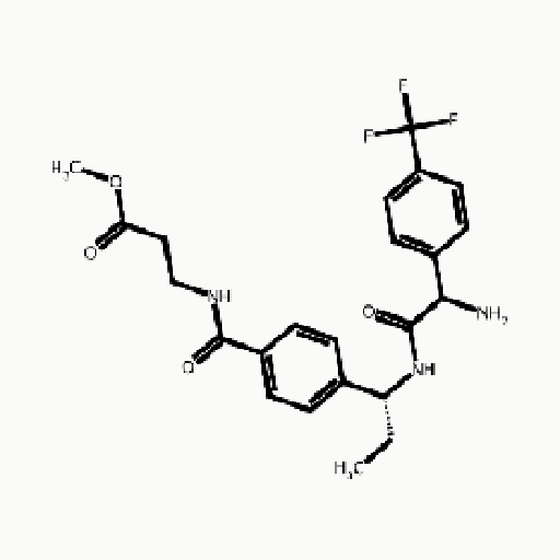 CC[C@@H](NC(=O)C(N)c1ccc(C(F)(F)F)cc1)c1ccc(C(=O)NCCC(=O)OC)cc1